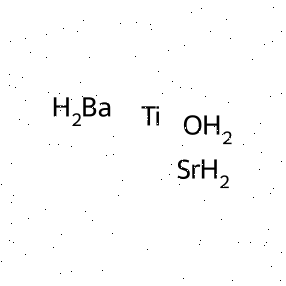 O.[BaH2].[SrH2].[Ti]